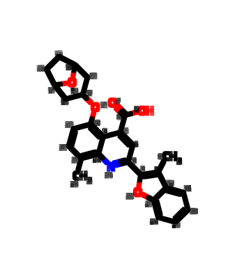 Cc1c(-c2cc(C(=O)O)c3c(OC4CC5CCC(C4)O5)ccc(C)c3n2)oc2ccccc12